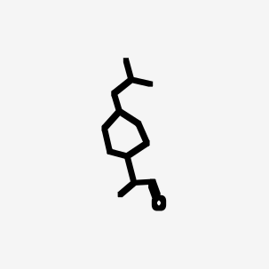 CC(C)CC1CCC(C(C)C=O)CC1